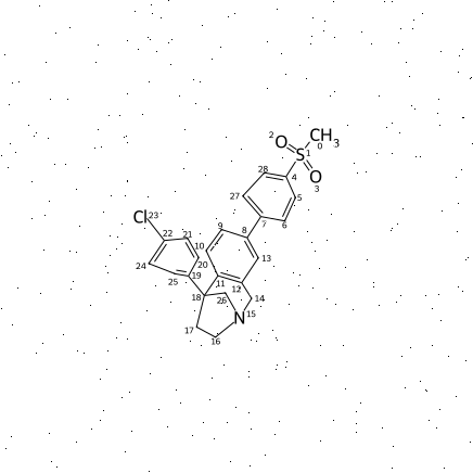 CS(=O)(=O)c1ccc(-c2ccc3c(c2)CN2CCC3(c3ccc(Cl)cc3)C2)cc1